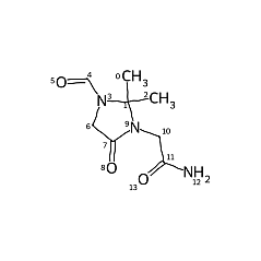 CC1(C)N(C=O)CC(=O)N1CC(N)=O